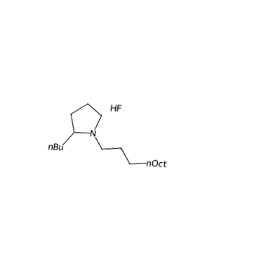 CCCCCCCCCCCN1CCCC1CCCC.F